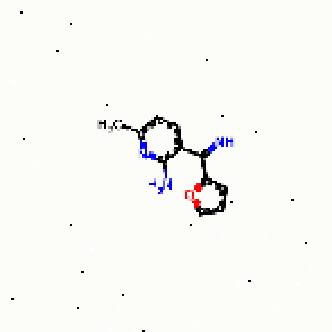 Cc1ccc(C(=N)c2ccco2)c(N)n1